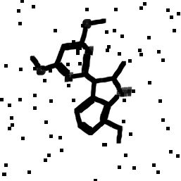 CCc1cccc2c1NC(C)C2c1nc(OC)cc(OC)n1